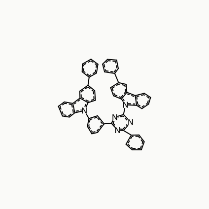 c1ccc(-c2ccc3c(c2)c2ccccc2n3-c2cccc(-c3nc(-c4ccccc4)nc(-n4c5ccccc5c5cc(-c6ccccc6)ccc54)n3)c2)cc1